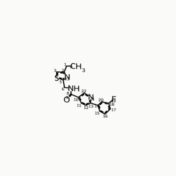 CCc1csc(CNC(=O)c2ccc(-c3cccc(F)c3)nc2)n1